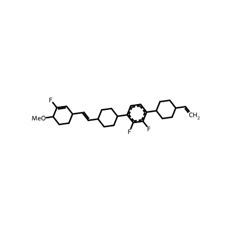 C=CC1CCC(c2ccc(C3CCC(/C=C/C4C=C(F)C(OC)CC4)CC3)c(F)c2F)CC1